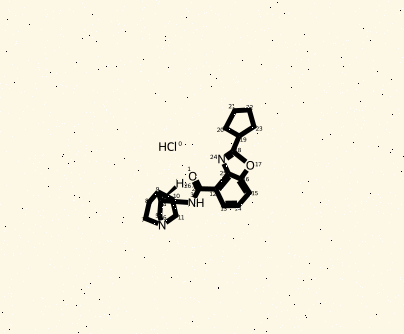 Cl.O=C(N[C@@H]1CN2CCC1CC2)c1cccc2oc(C3CCCC3)nc12